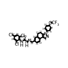 FC(F)(F)Oc1ccc(-n2ncc3c2CCc2cc(C=NNC(=S)Nc4c(Cl)cc(Cl)cc4Cl)ccc2-3)cc1